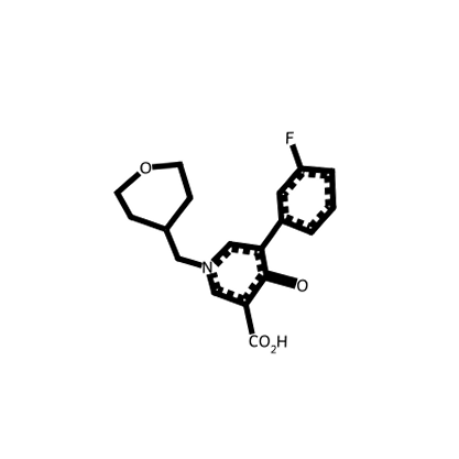 O=C(O)c1cn(CC2CCOCC2)cc(-c2cccc(F)c2)c1=O